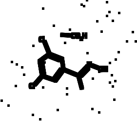 CC(=NO)c1cc(Cl)cc(Cl)c1.CC(=O)O